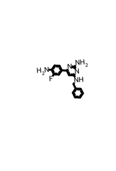 Nc1nc(NCc2ccccc2)cc(-c2ccc(N)c(F)c2)n1